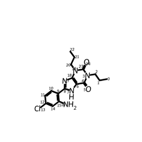 CCCn1c(=O)c2[nH]c(-c3ccc(Cl)cc3N)nc2n(CCC)c1=O